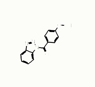 COc1ccc(C(=O)n2nnc3ccccc32)cc1